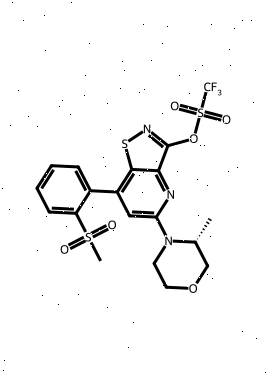 C[C@@H]1COCCN1c1cc(-c2ccccc2S(C)(=O)=O)c2snc(OS(=O)(=O)C(F)(F)F)c2n1